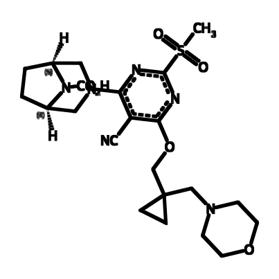 CS(=O)(=O)c1nc(OCC2(CN3CCOCC3)CC2)c(C#N)c(N2C[C@H]3CC[C@@H](C2)N3C(=O)O)n1